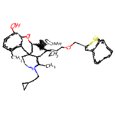 COC(C)[C@@H]1Oc2c(O)ccc(C)c2C12CCN(CC1CC1)C(C)C2CCCOCc1cc2ccccc2s1